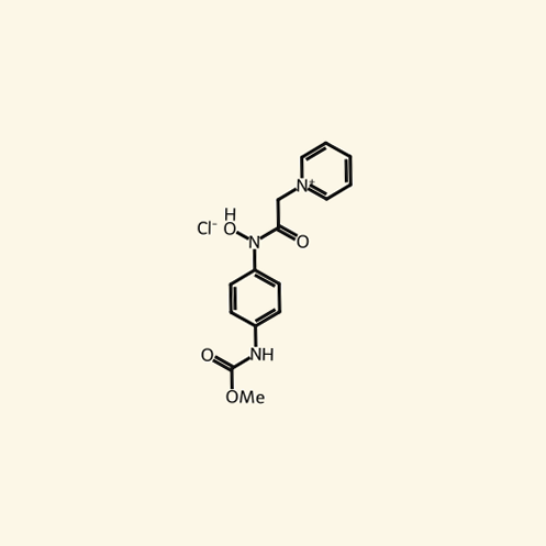 COC(=O)Nc1ccc(N(O)C(=O)C[n+]2ccccc2)cc1.[Cl-]